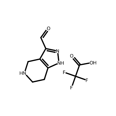 O=C(O)C(F)(F)F.O=Cc1n[nH]c2c1CNCC2